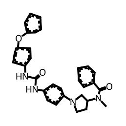 CN(C(=O)c1ccccc1)C1CCN(c2ccc(NC(=O)Nc3ccc(Oc4ccccc4)cc3)cc2)C1